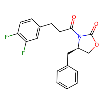 O=C(CCc1ccc(F)c(F)c1)N1C(=O)OC[C@H]1Cc1ccccc1